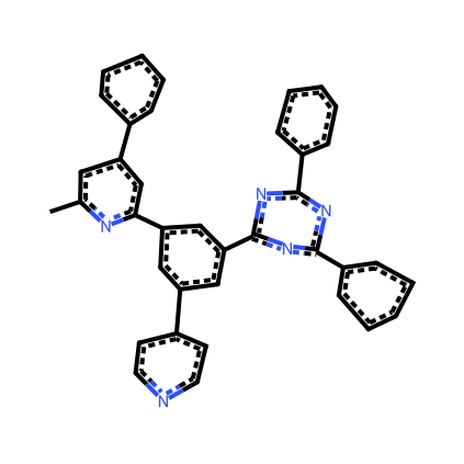 Cc1cc(-c2ccccc2)cc(-c2cc(-c3ccncc3)cc(-c3nc(-c4ccccc4)nc(-c4ccccc4)n3)c2)n1